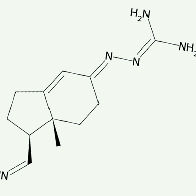 C[C@]12CC/C(=N\N=C(N)N)C=C1CC[C@@H]2C=N